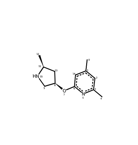 Cc1cc(C)nc(O[C@H]2CN[C@@H](C)C2)c1